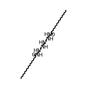 CCCCCCCCCCCCCCCCCC(=O)NCCNCCNCCNCCNCCNC(=O)CCCCCCCCCCCCCCCCC